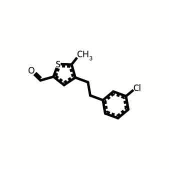 Cc1sc(C=O)cc1CCc1cccc(Cl)c1